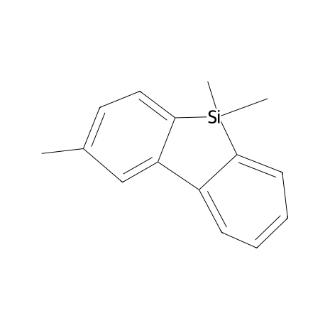 Cc1ccc2c(c1)-c1ccccc1[Si]2(C)C